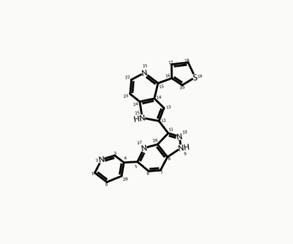 c1cncc(-c2ccc3[nH]nc(-c4cc5c(-c6ccsc6)nccc5[nH]4)c3n2)c1